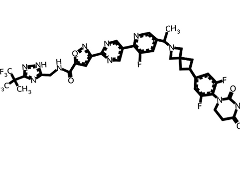 CC(c1cnc(-c2cnc(-c3cc(C(=O)NCc4nc(C(C)(C)C(F)(F)F)n[nH]4)on3)nc2)c(F)c1)N1CC2(CC(c3cc(F)c(N4CCC(=O)NC4=O)c(F)c3)C2)C1